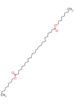 CCCCCCCCOC(=O)CCCCCCCCCCCCCCCCCCCCCCC(=O)OCCCCCCCC